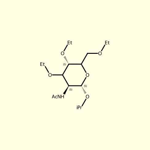 CCOCC1O[C@H](OC(C)C)[C@@H](NC(C)=O)C(OCC)[C@@H]1OCC